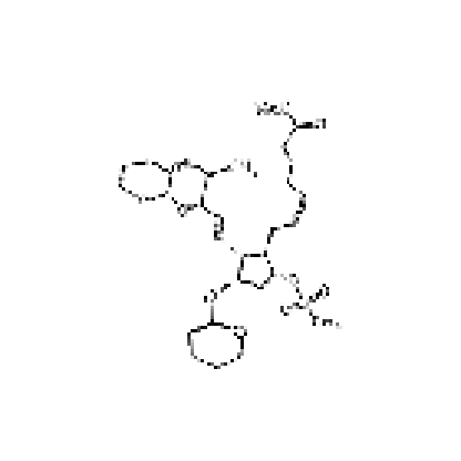 CCCC[C@@H](C)[C@@H](/C=C/[C@@H]1[C@@H](C/C=C\CCCC(=O)OC)[C@H](OS(C)(=O)=O)C[C@H]1OC1CCCCO1)OC1CCCCO1